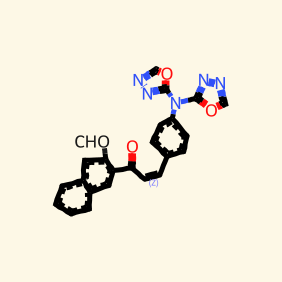 O=Cc1cc2ccccc2cc1C(=O)/C=C\c1ccc(N(c2nnco2)c2nnco2)cc1